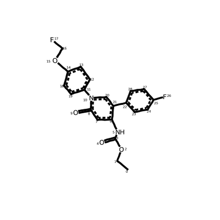 CCOC(=O)Nc1cc(=O)n(-c2ccc(OCF)cc2)cc1-c1ccc(F)cc1